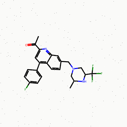 CC(=O)c1cc(-c2ccc(F)cc2)c2ccc(CN3CC(C)NC(C(F)(F)F)C3)cc2n1